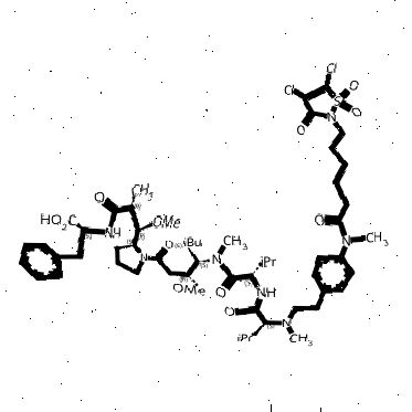 CC[C@H](C)[C@@H]([C@@H](CC(=O)N1CCC[C@H]1[C@H](OC)[C@@H](C)C(=O)N[C@@H](Cc1ccccc1)C(=O)O)OC)N(C)C(=O)[C@@H](NC(=O)[C@H](C(C)C)N(C)CCc1ccc(N(C)C(=O)CCCCCN2C(=O)C(Cl)=C(Cl)S2(=O)=O)cc1)C(C)C